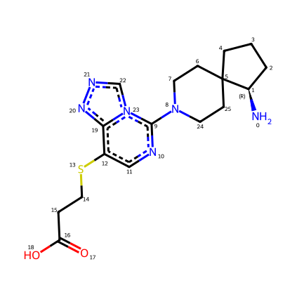 N[C@@H]1CCCC12CCN(c1ncc(SCCC(=O)O)c3nncn13)CC2